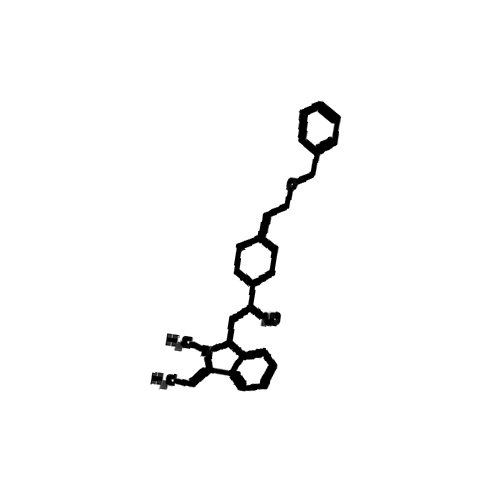 C/C=C1/c2ccccc2C(CC(N=O)C2CCC(=CCOCc3ccccc3)CC2)N1C